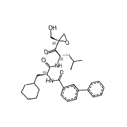 CC(C)C[C@H](NC(=O)[C@H](CC1CCCCC1)NC(=O)c1cccc(-c2ccccc2)c1)C(=O)[C@]1(CO)CO1